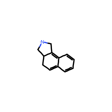 C1=c2ccccc2=C2C[N]CC2C1